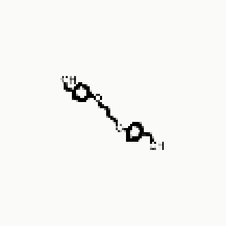 OCc1ccc(OCCCCOc2ccc(CO)cc2)cc1